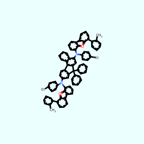 CCc1ccc(N(c2ccc3c(c2)C(c2ccccc2)(c2ccccc2)c2cc(N(c4ccc(CC)cc4)c4cccc5c4oc4c(-c6ccccc6C)cccc45)c4ccccc4c2-3)c2cccc3c2oc2c(-c4ccccc4C)cccc23)cc1